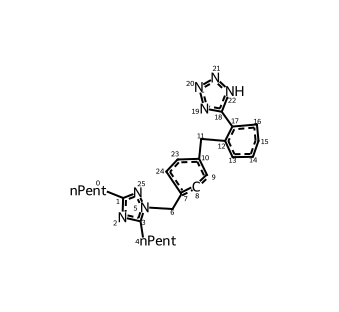 CCCCCc1nc(CCCCC)n(Cc2ccc(Cc3ccccc3-c3nnn[nH]3)cc2)n1